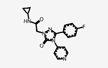 O=C(Cn1nc(-c2ccc(F)cc2)n(-c2ccncc2)c1=O)NC1CC1